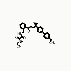 C=Cc1ccc(-c2ccc(C3(CCC(=O)c4ccccc4CNC(=O)C(=O)NCC#N)CC3)cc2)cc1